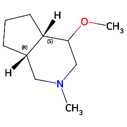 COC1CN(C)C[C@@H]2CCC[C@H]12